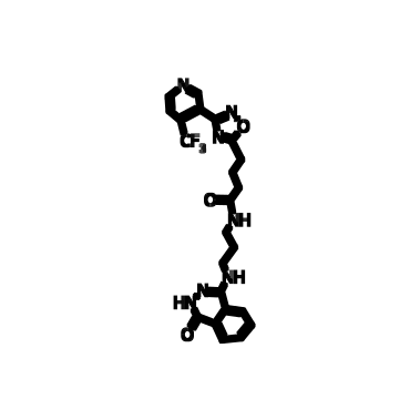 O=C(CCCc1nc(-c2cnccc2C(F)(F)F)no1)NCCCNc1n[nH]c(=O)c2ccccc12